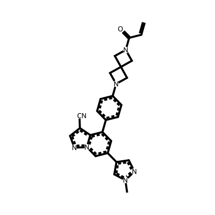 C=CC(=O)N1CC2(C1)CN(c1ccc(-c3cc(-c4cnn(C)c4)cn4ncc(C#N)c34)cc1)C2